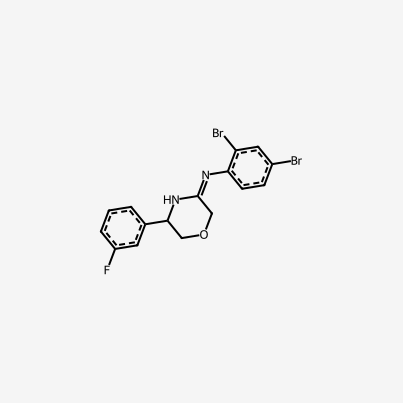 Fc1cccc(C2COCC(=Nc3ccc(Br)cc3Br)N2)c1